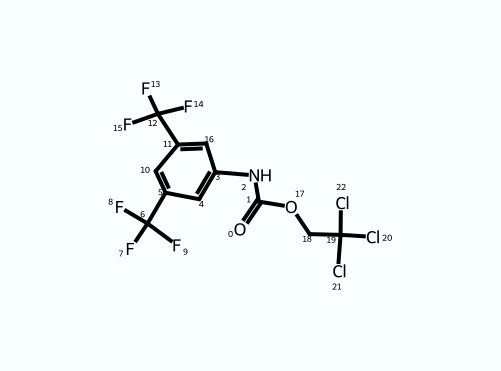 O=C(Nc1cc(C(F)(F)F)cc(C(F)(F)F)c1)OCC(Cl)(Cl)Cl